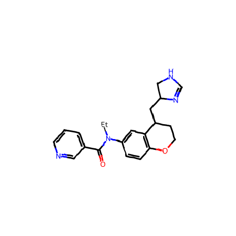 CCN(C(=O)c1cccnc1)c1ccc2c(c1)C(CC1CNC=N1)CCO2